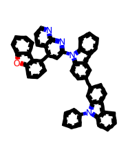 c1ccc(-n2c3ccccc3c3ccc(-c4ccc5c(c4)c4ccccc4n5-c4cc(-c5cccc6oc7ccccc7c56)c5cccnc5n4)cc32)cc1